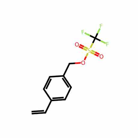 C=Cc1ccc(COS(=O)(=O)C(F)(F)F)cc1